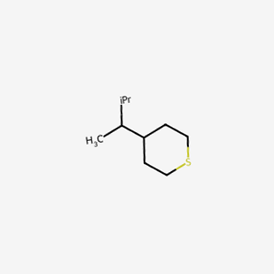 CC(C)C(C)C1CCSCC1